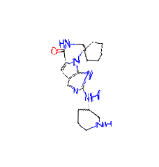 O=C1NCC2(CCCCC2)n2c1cc1cnc(N[C@H]3CCCNC3)nc12